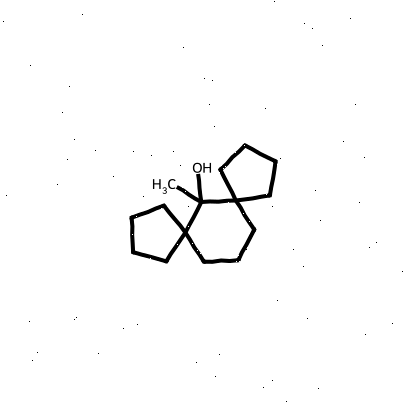 CC1(O)C2(CCCC2)CCCC12CCCC2